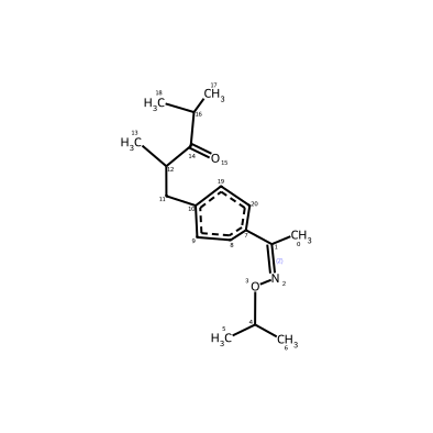 C/C(=N/OC(C)C)c1ccc(CC(C)C(=O)C(C)C)cc1